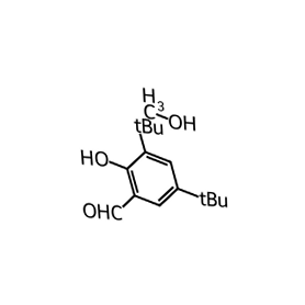 CC(C)(C)c1cc(C=O)c(O)c(C(C)(C)C)c1.CO